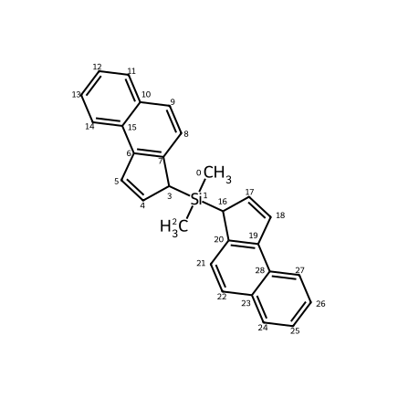 C[Si](C)(C1C=Cc2c1ccc1ccccc21)C1C=Cc2c1ccc1ccccc21